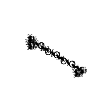 C[Si](C)(C)N(CCOCCOCCOCCOCCOCCN([Si](C)(C)C)[Si](C)(C)C)[Si](C)(C)C